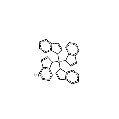 C1=CC([Si](C2C=Cc3ccccc32)(C2C=Cc3ccccc32)C2C=Cc3ccccc32)c2ccccc21.[LiH]